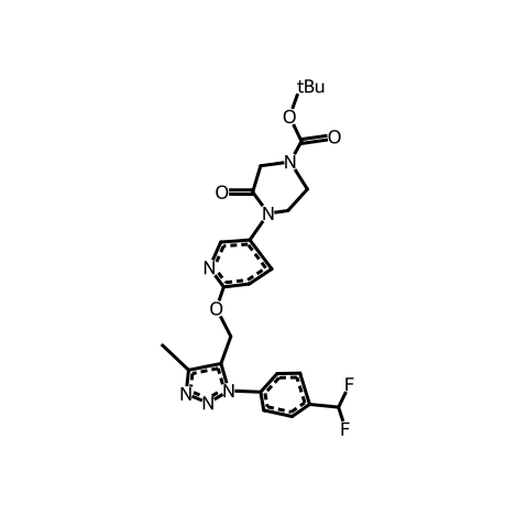 Cc1nnn(-c2ccc(C(F)F)cc2)c1COc1ccc(N2CCN(C(=O)OC(C)(C)C)CC2=O)cn1